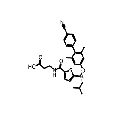 Cc1cc(O[C@H](CC(C)C)c2ccc(C(=O)NCCC(=O)O)s2)cc(C)c1-c1ccc(C#N)cc1